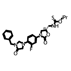 CC(C)OC(=S)NC[C@H]1CN(c2ccc(N3CC(=O)N(Cc4ccccc4)C3)c(F)c2)C(=O)O1